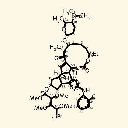 CC[C@H]1CCC[C@H](O[C@H]2CC[C@H](N(C)C)C(C)O2)[C@@H](C)C(=O)C2=C[C@@H]3C(c4nc(Nc5ccccc5Cl)sc4C4C[C@@H](OC(OC)C(OC)C(OC)C(OC)C(C)C)C[C@H]43)[C@@H]2CC(=O)O1